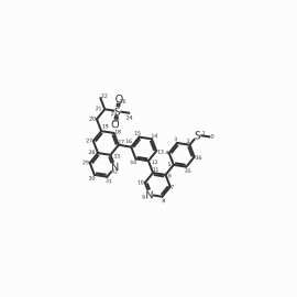 CSc1ccc(-c2ccncc2-c2cccc(-c3cc(CC(C)S(C)(=O)=O)cc4cccnc34)c2)cc1